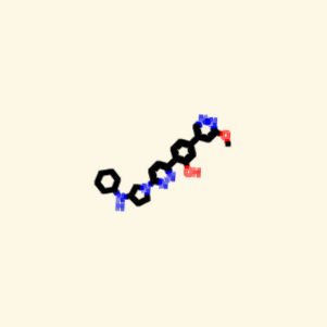 COc1cc(-c2ccc(-c3ccc(N4CCC(NC5CCCCC5)C4)nn3)c(O)c2)cnn1